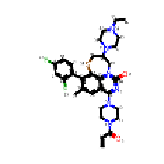 C=CC(=O)N1CCN(c2nc(=O)n3c4c(c(-c5ccc(F)cc5F)c(C)cc24)SCC(N2CCN(CC)CC2)C3)CC1